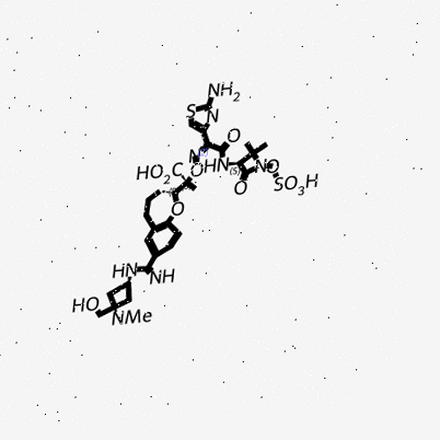 CN[C@]1(CO)C[C@@H](NC(=N)c2ccc3c(c2)CCC[C@H]([C@](C)(O/N=C(\C(=O)N[C@@H]2C(=O)N(OS(=O)(=O)O)C2(C)C)c2csc(N)n2)C(=O)O)O3)C1